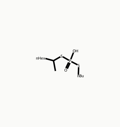 CCCCCCC(C)SP(=O)(O)SCCCC